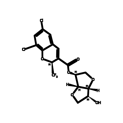 O=C(O[C@H]1CO[C@H]2[C@@H]1OC[C@H]2O)C1=Cc2cc(Cl)cc(Cl)c2O[C@@H]1C(F)(F)F